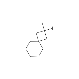 CC1(I)CC2(CCCCC2)C1